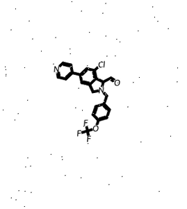 O=CC1c2c(Cl)cc(-c3ccncc3)cc2CN1Cc1ccc(OC(F)(F)F)cc1